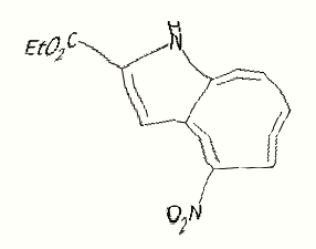 CCOC(=O)c1cc2c([N+](=O)[O-])cccc2[nH]1